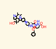 CCn1c(-c2cccnc2C(C)C)c(CC(C)(C)CO)c2cc(N3CCC[C@@H](C[C@H](NC(=O)OCc4ccccc4)C(=O)N4CCC[C@@H](C(=O)O)N4)C3)ccc21